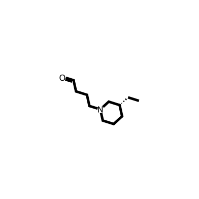 CC[C@@H]1CCCN(CCCC=O)C1